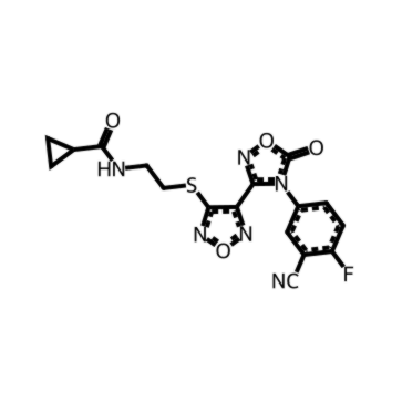 N#Cc1cc(-n2c(-c3nonc3SCCNC(=O)C3CC3)noc2=O)ccc1F